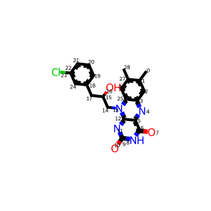 Cc1cc2nc3c(=O)[nH]c(=O)nc-3n(CC(O)Cc3cccc(Cl)c3)c2cc1C